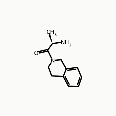 C[C@@H](N)C(=O)N1CCc2ccccc2C1